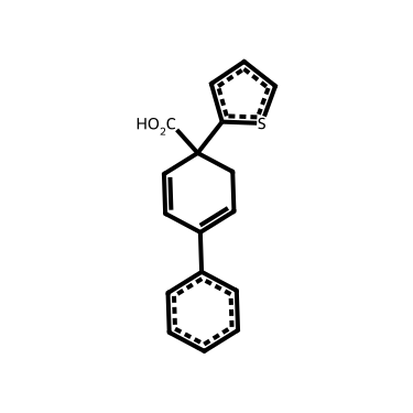 O=C(O)C1(c2cccs2)C=CC(c2ccccc2)=CC1